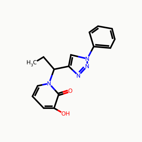 CCC(c1cn(-c2ccccc2)nn1)n1cccc(O)c1=O